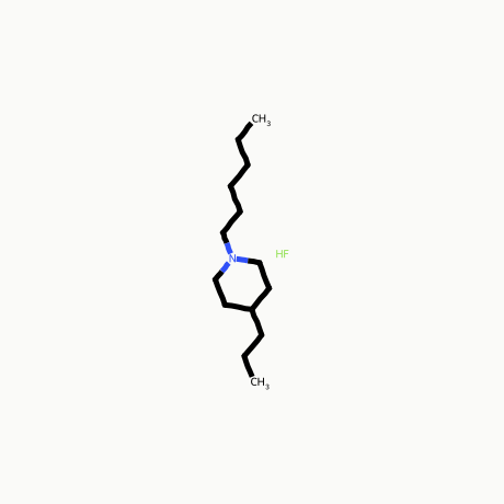 CCCCCCN1CCC(CCC)CC1.F